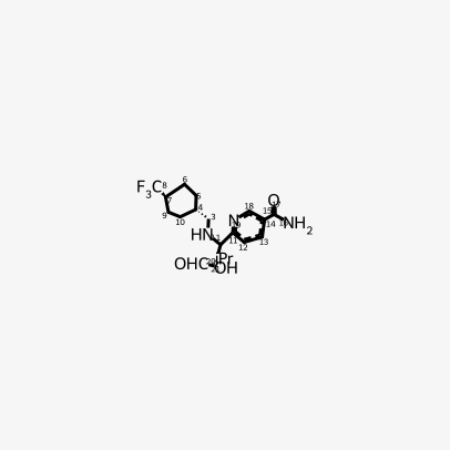 CC(C)C(NC[C@H]1CC[C@H](C(F)(F)F)CC1)c1ccc(C(N)=O)cn1.O=CO